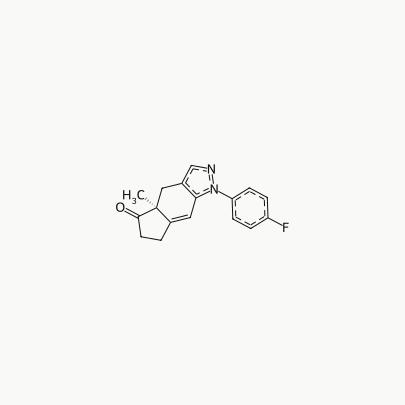 C[C@]12Cc3cnn(-c4ccc(F)cc4)c3C=C1CCC2=O